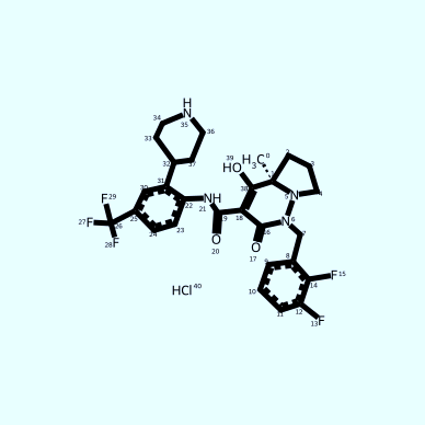 C[C@]12CCCN1N(Cc1cccc(F)c1F)C(=O)C(C(=O)Nc1ccc(C(F)(F)F)cc1C1CCNCC1)=C2O.Cl